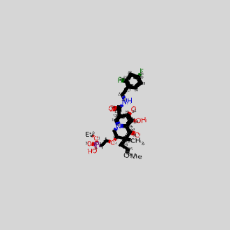 CCOP(=O)(O)CCOC1Cn2cc(C(=O)NCc3ccc(F)cc3F)c(=O)c(O)c2C(=O)C1(C)CCOC